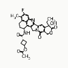 CC[C@@]1(O)C(=O)OCc2c1cc1n(c2=O)Cc2c-1nc1cc(F)c(C)c3c1c2[C@@H](NC(=O)[C@H]1C[C@H](OC(C)=O)C1)CC3